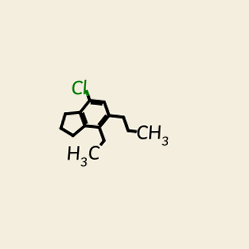 CCCc1cc(Cl)c2c(c1CC)CCC2